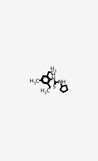 CCc1cc(C)cc(CC)c1NC(=S)NC1CCCC1